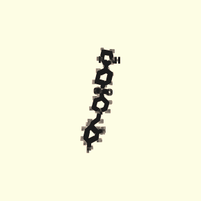 O=S(=O)(c1ccc(-c2ncc[nH]2)cc1)C1CCN(CCc2ccc(F)cc2F)CC1